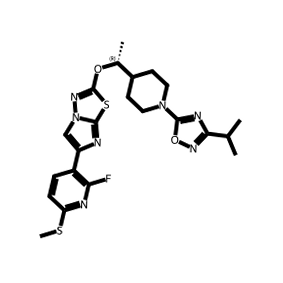 CSc1ccc(-c2cn3nc(O[C@H](C)C4CCN(c5nc(C(C)C)no5)CC4)sc3n2)c(F)n1